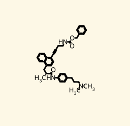 C[C@@H](Cc1ccc(C#CCCNC(=O)OCc2ccccc2)c2ccccc12)C(=O)Nc1ccc(CCCN(C)C)cc1